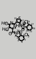 COc1cccc(CNC(=O)c2nc(-c3cscc3NS(=O)(=O)c3ccccc3Cl)nc(O)c2O)c1OC